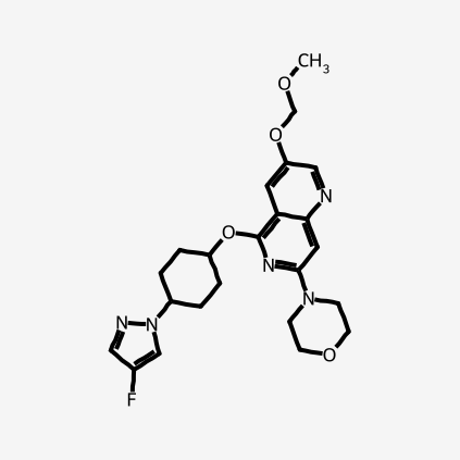 COCOc1cnc2cc(N3CCOCC3)nc(OC3CCC(n4cc(F)cn4)CC3)c2c1